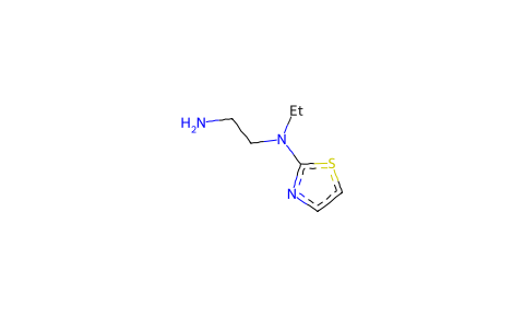 CCN(CCN)c1nccs1